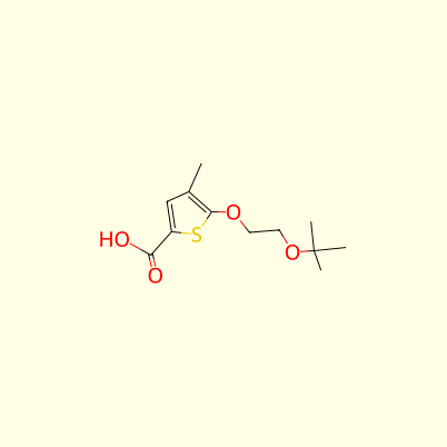 Cc1cc(C(=O)O)sc1OCCOC(C)(C)C